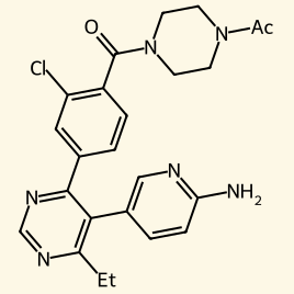 CCc1ncnc(-c2ccc(C(=O)N3CCN(C(C)=O)CC3)c(Cl)c2)c1-c1ccc(N)nc1